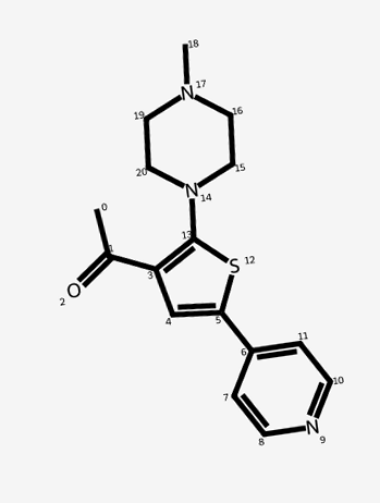 CC(=O)c1cc(-c2ccncc2)sc1N1CCN(C)CC1